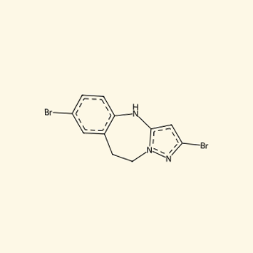 Brc1ccc2c(c1)CCn1nc(Br)cc1N2